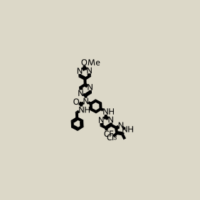 COc1ncc(-c2cnc(N(C(=O)NCc3ccccc3)C3CCC(Nc4ncc(C(F)(F)F)c(-c5n[nH]c(C)c5Cl)n4)CC3)cn2)cn1